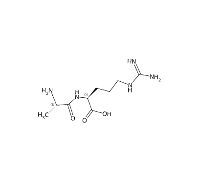 C[C@H](N)C(=O)N[C@@H](CCCNC(=N)N)C(=O)O